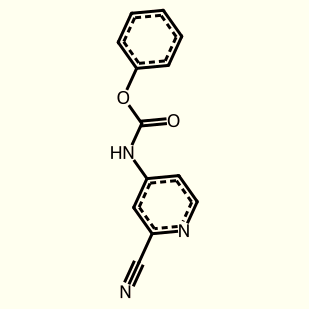 N#Cc1cc(NC(=O)Oc2ccccc2)ccn1